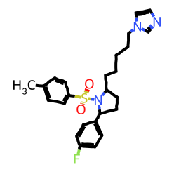 Cc1ccc(S(=O)(=O)N2C(CCCCCn3ccnc3)CCC2c2ccc(F)cc2)cc1